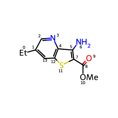 CCc1cnc2c(N)c(C(=O)OC)sc2c1